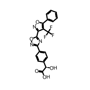 O=C(O)[C@H](O)c1ccc(-c2noc(-c3noc(-c4ccccc4)c3C(F)(F)F)n2)cc1